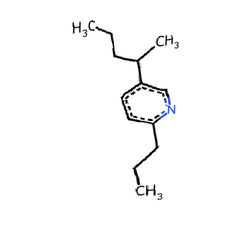 CCCc1ccc(C(C)CCC)cn1